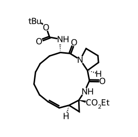 CCOC(=O)[C@@]12C[C@H]1/C=C\CCCCC[C@H](NC(=O)OC(C)(C)C)C(=O)N1CCC[C@H]1C(=O)N2